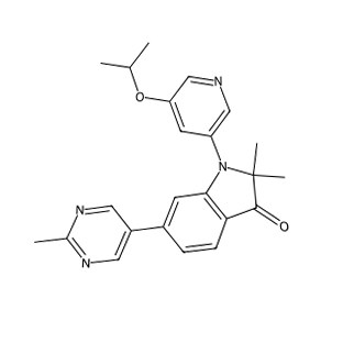 Cc1ncc(-c2ccc3c(c2)N(c2cncc(OC(C)C)c2)C(C)(C)C3=O)cn1